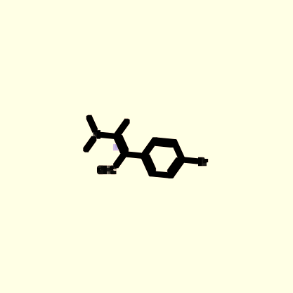 C/C(=C(/C=O)c1ccc(Br)cc1)N(C)C